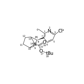 Cc1nc(Cl)ccc1[C@H]1CC2CCC1N2C(=O)OC(C)(C)C